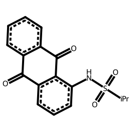 CC(C)S(=O)(=O)Nc1cccc2c1C(=O)c1ccccc1C2=O